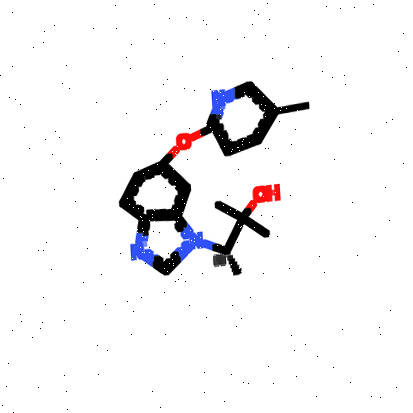 Cc1ccc(Oc2ccc3ncn([C@@H](C)C(C)(C)O)c3c2)nc1